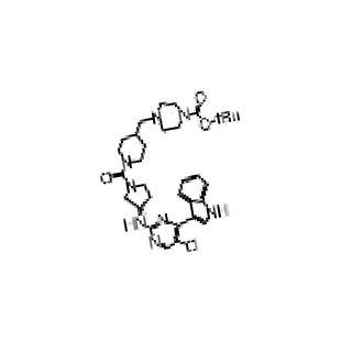 CC(C)(C)OC(=O)N1CCN(CC2CCN(C(=O)N3CC[C@@H](Nc4ncc(Cl)c(-c5c[nH]c6ccccc56)n4)C3)CC2)CC1